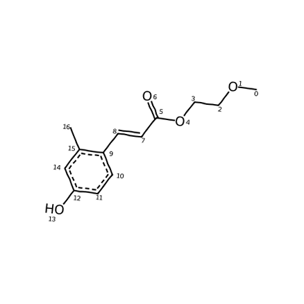 COCCOC(=O)C=Cc1ccc(O)cc1C